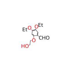 CCOc1cc(C=O)c(OCCO)cc1OCC